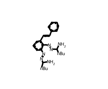 CCCCC(N)N=Nc1cccc(C=Cc2ccccc2)c1N=NC(N)CCCC